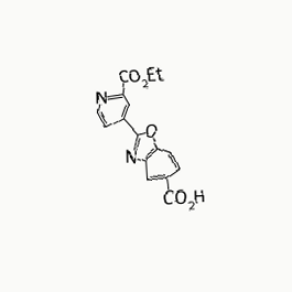 CCOC(=O)c1cc(-c2nc3cc(C(=O)O)ccc3o2)ccn1